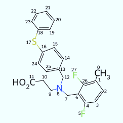 Cc1ccc(F)c(CN(CCC(=O)O)Cc2ccc(Sc3ccccc3)cc2)c1F